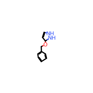 C1=CC(OCc2ccccc2)NN1